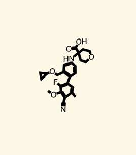 COc1c(F)c(-c2ccc(NC3(C(=O)O)CCOCC3)cc2COC2CC2)cc(C)c1C#N